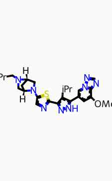 COc1cc(-c2[nH]nc(-c3ncc(N4C[C@@H]5C[C@H]4CN5CC(C)C)s3)c2C(C)C)cn2ncnc12